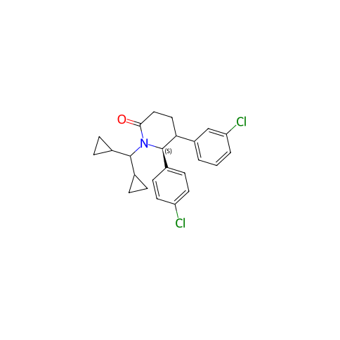 O=C1CCC(c2cccc(Cl)c2)[C@@H](c2ccc(Cl)cc2)N1C(C1CC1)C1CC1